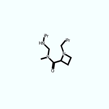 CC(C)CN1CCC1C(=O)N(C)CNC(C)C